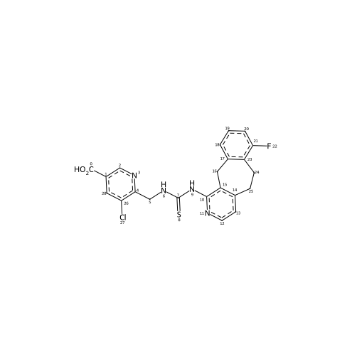 O=C(O)c1cnc(CNC(=S)Nc2nccc3c2Cc2cccc(F)c2CC3)c(Cl)c1